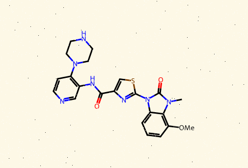 COc1cccc2c1n(C)c(=O)n2-c1nc(C(=O)Nc2cnccc2N2CCNCC2)cs1